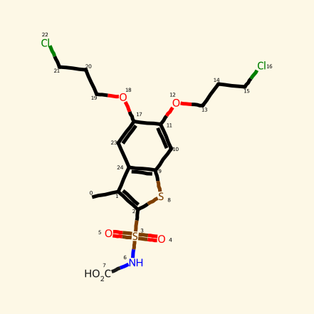 Cc1c(S(=O)(=O)NC(=O)O)sc2cc(OCCCCl)c(OCCCCl)cc12